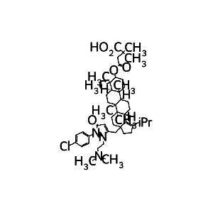 CC(C)C1=C2[C@H]3CC[C@@H]4C5(C)CC[C@H](OC(=O)CC(C)(C)C(=O)O)C(C)(C)[C@@H]5CCC4(C)[C@]3(C)CCC2(Cc2cc(=O)n(-c3ccc(Cl)cc3)n2CCN(C)C)CC1